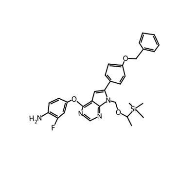 CC(OCn1c(-c2ccc(OCc3ccccc3)cc2)cc2c(Oc3ccc(N)c(F)c3)ncnc21)[Si](C)(C)C